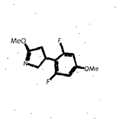 COC1=NCC(c2c(F)cc(OC)cc2F)C1